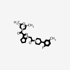 Cc1ccc(F)c(C2CCN(C(=O)Cn3nc(C(=O)N4C[C@@H](C)O[C@@H](C)C4)c4c3CCC4)CC2)c1